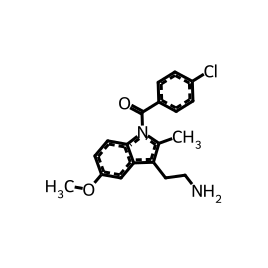 COc1ccc2c(c1)c(CCN)c(C)n2C(=O)c1ccc(Cl)cc1